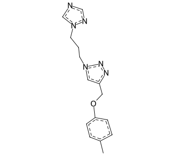 Cc1ccc(OCc2cn(CCCn3cncn3)nn2)cc1